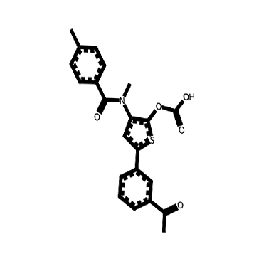 CC(=O)c1cccc(-c2cc(N(C)C(=O)c3ccc(C)cc3)c(OC(=O)O)s2)c1